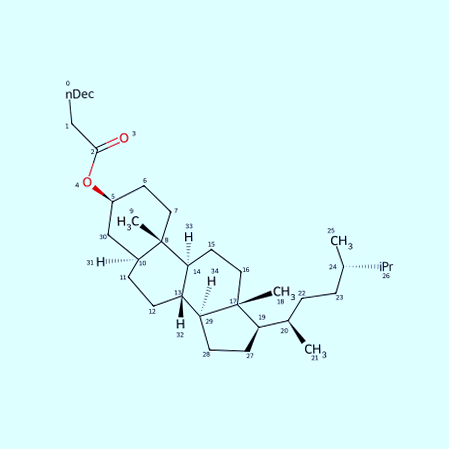 CCCCCCCCCCCC(=O)O[C@H]1CC[C@@]2(C)[C@@H](CC[C@@H]3[C@@H]2CC[C@]2(C)[C@@H]([C@H](C)CC[C@H](C)C(C)C)CC[C@@H]32)C1